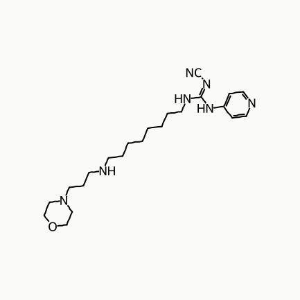 N#C/N=C(\NCCCCCCCCNCCCN1CCOCC1)Nc1ccncc1